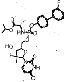 CC(C)OC(=O)[C@H](C)NP(=O)(OC[C@H]1O[C@@H](n2ccc(=O)[nH]c2=O)[C@](C)(F)[C@@H]1O)Oc1ccc(-c2cccc(F)c2)cc1